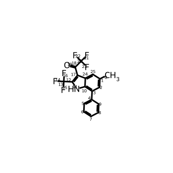 Cc1cc(-c2ccccc2)c2[nH]c(C(F)(F)F)c(C(=O)C(F)(F)F)c2c1